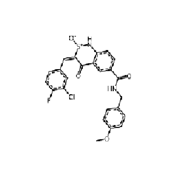 COc1ccc(CNC(=O)c2ccc3c(c2)C(=O)/C(=C\c2ccc(F)c(Cl)c2)[S+]([O-])N3)cc1